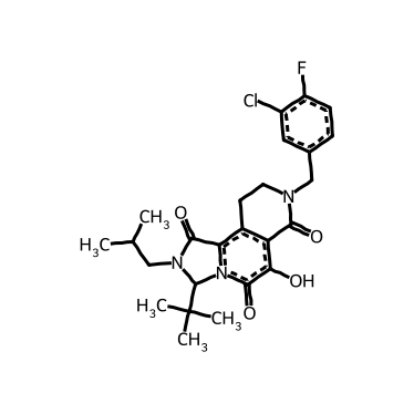 CC(C)CN1C(=O)c2c3c(c(O)c(=O)n2C1C(C)(C)C)C(=O)N(Cc1ccc(F)c(Cl)c1)CC3